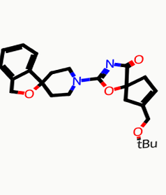 CC(C)(C)OCC1=CCC2(C1)OC(N1CCC3(CC1)OCc1ccccc13)=NC2=O